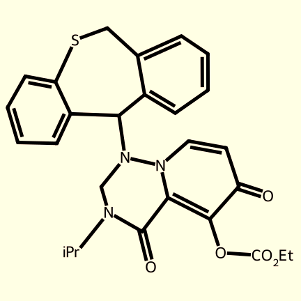 CCOC(=O)Oc1c2n(ccc1=O)N(C1c3ccccc3CSc3ccccc31)CN(C(C)C)C2=O